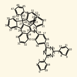 c1ccc(-c2nc(-c3ccccc3)nc(-c3ccc(-n4c5ccccc5c5c6c(c7ccccc7c54)-c4ccccc4C6(c4ccccc4)c4ccccc4)cc3)n2)cc1